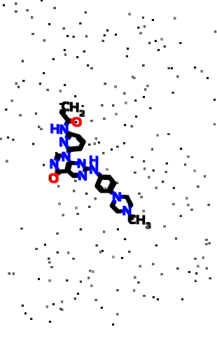 C=CC(=O)Nc1cccc(-n2cnc(=O)c3cnc(Nc4ccc(N5CCN(C)CC5)cc4)nc32)n1